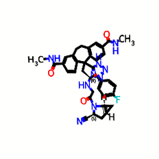 CNC(=O)c1ccc2c(c1)CCc1cc(C(=O)NC)ccc1C2(C[C@@H](Cc1ccc(F)cc1)NCC(=O)N1[C@H](C#N)C[C@@H]2C[C@@H]21)c1nnn[nH]1